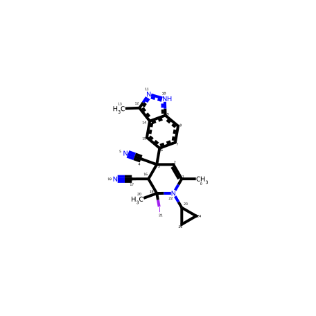 CC1=CC(C#N)(c2ccc3[nH]nc(C)c3c2)C(C#N)C(C)(I)N1C1CC1